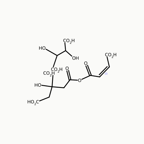 O=C(O)/C=C\C(=O)OC(=O)CC(O)(CC(=O)O)C(=O)O.O=C(O)C(O)C(O)C(=O)O